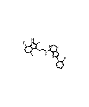 Cc1[nH]c2c(F)ccc(C)c2c1CCNc1ncnc2cc(-c3ccccc3F)sc12